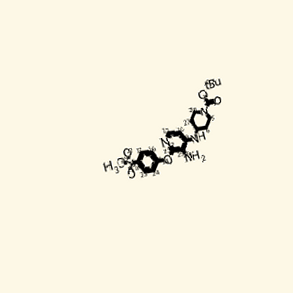 CC(C)(C)OC(=O)N1CCC(Nc2ccnc(Oc3ccc(S(C)(=O)=O)cc3)c2N)CC1